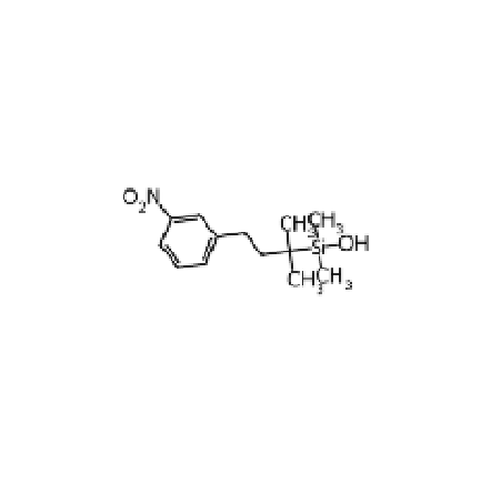 CC(C)(CCc1cccc([N+](=O)[O-])c1)[Si](C)(C)O